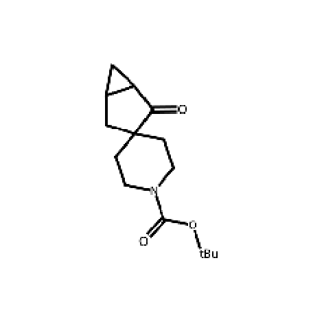 CC(C)(C)OC(=O)N1CCC2(CC1)CC1CC1C2=O